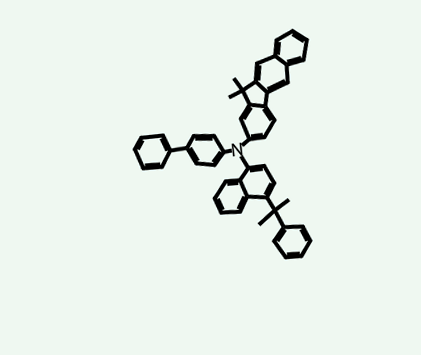 CC1(C)c2cc(N(c3ccc(-c4ccccc4)cc3)c3ccc(C(C)(C)c4ccccc4)c4ccccc34)ccc2-c2cc3ccccc3cc21